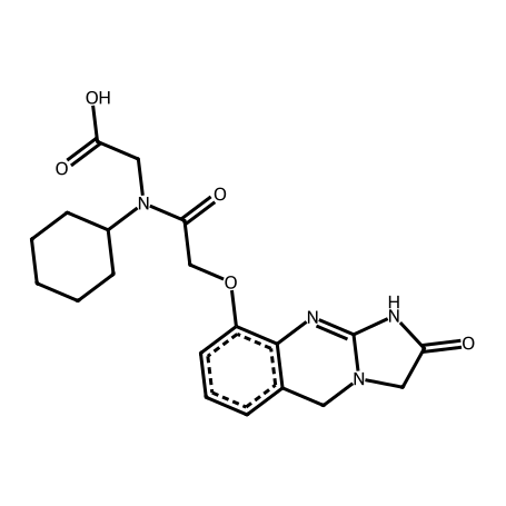 O=C(O)CN(C(=O)COc1cccc2c1N=C1NC(=O)CN1C2)C1CCCCC1